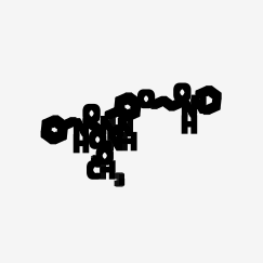 CCOC(=O)NC1=Nc2cc(OCCCC(=O)NN3CCCCC3)ccc2CN1CC(=O)NCc1ccccc1